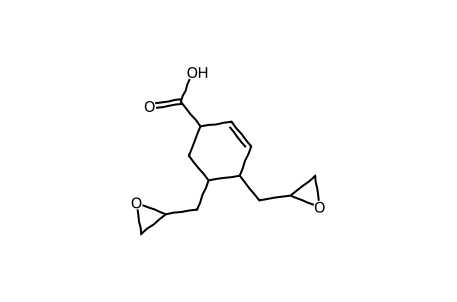 O=C(O)C1C=CC(CC2CO2)C(CC2CO2)C1